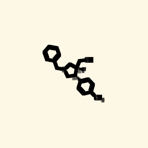 Cc1ccc([C@@H]2CB(Cc3ccccc3)C[C@@]2(F)CO)cc1